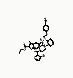 CCOC(=O)c1sc2ccc(S(=O)(=O)N(CCc3ccc(C#N)cc3)c3ccccc3N3CCN(C(=O)c4sccc4Br)CC3)cc2c1C